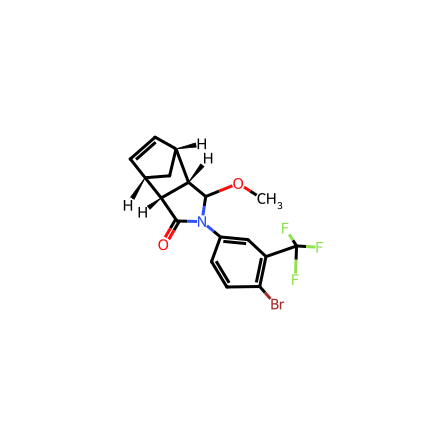 COC1[C@@H]2[C@H](C(=O)N1c1ccc(Br)c(C(F)(F)F)c1)[C@@H]1C=C[C@H]2C1